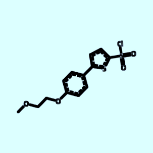 COCCOc1ccc(-c2ccc(S(=O)(=O)Cl)s2)cc1